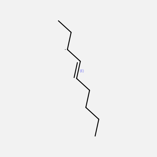 CC[CH]/C=C/CCCC